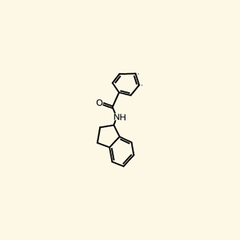 O=C(NC1CCc2ccccc21)c1c[c][c]cc1